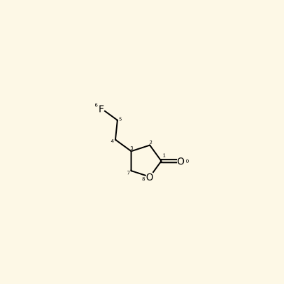 O=C1CC(CCF)CO1